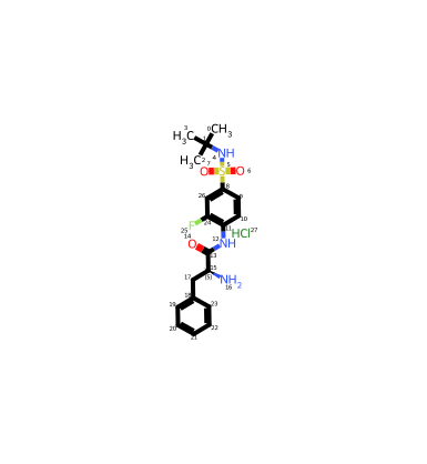 CC(C)(C)NS(=O)(=O)c1ccc(NC(=O)[C@@H](N)Cc2ccccc2)c(F)c1.Cl